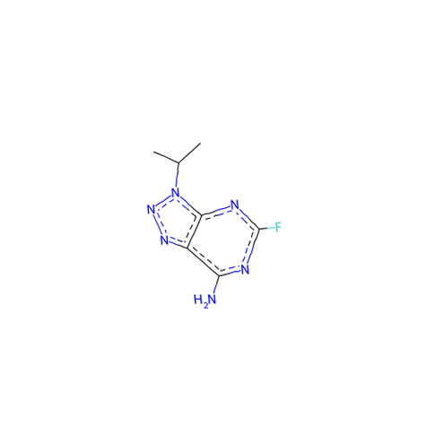 CC(C)n1nnc2c(N)nc(F)nc21